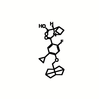 O=C(O)[C@@H]1C2CC(C2)N1C(=O)c1cc(C2CC2)c(OCC23CC4CC2CC4C3)cc1F